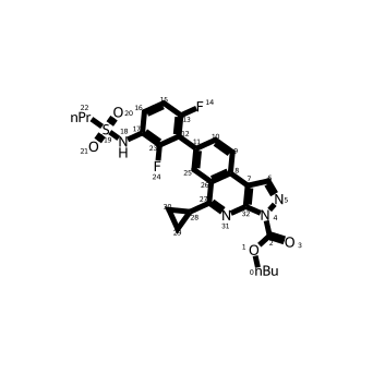 CCCCOC(=O)n1ncc2c3ccc(-c4c(F)ccc(NS(=O)(=O)CCC)c4F)cc3c(C3CC3)nc21